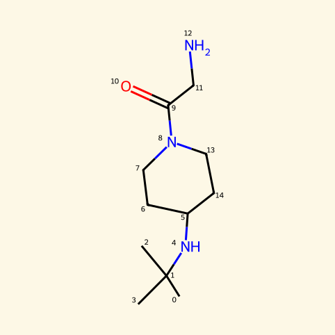 CC(C)(C)NC1CCN(C(=O)CN)CC1